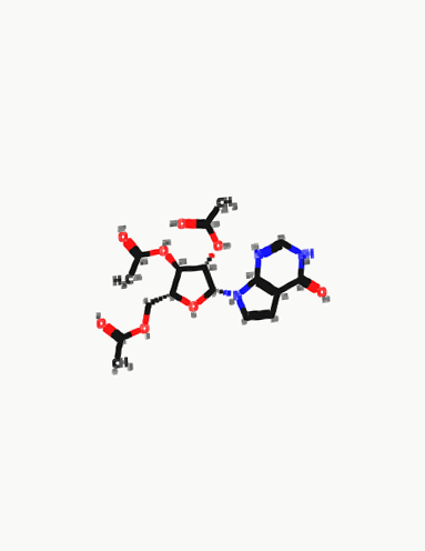 CC(=O)OC[C@H]1O[C@@H](n2ccc3c(=O)[nH]cnc32)[C@@H](OC(C)=O)[C@@H]1OC(C)=O